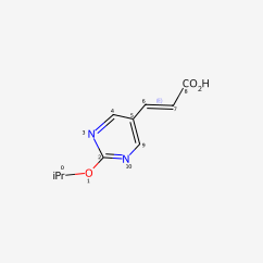 CC(C)Oc1ncc(/C=C/C(=O)O)cn1